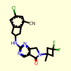 CC1(N2Cc3nc(NC4Cc5cc(Cl)cc(C#N)c5C4)ncc3C2=O)CC(F)(F)C1